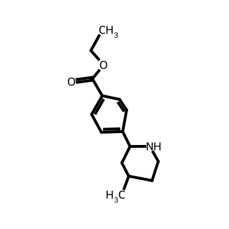 CCOC(=O)c1ccc(C2CC(C)CCN2)cc1